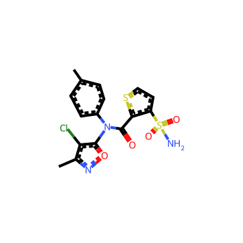 Cc1ccc(N(C(=O)c2sccc2S(N)(=O)=O)c2onc(C)c2Cl)cc1